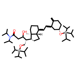 C=C1CC[C@H](O[Si](C(C)C)(C(C)C)C(C)C)C/C1=C\C=C1CCC[C@]2(C)[C@@H]([C@H](CO[Si](C(C)C)(C(C)C)C(C)C)C(O)CC(=O)N(C(C)C)C(C)C)CC[C@@H]12